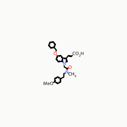 COc1ccc(CCN(C)C(=O)Cn2cc(C=CC(=O)O)c3cc(OCc4ccccc4)ccc32)cc1